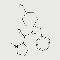 CC(C)N1CCC(Cc2ccccn2)(NC(=O)C2CCCN2C)CC1